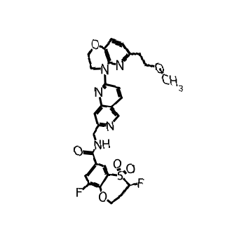 COCCc1ccc2c(n1)N(c1ccc3cnc(CNC(=O)c4cc(F)c5c(c4)S(=O)(=O)[C@@H](F)CCO5)cc3n1)CCO2